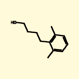 Cc1cccc(C)c1CCCCO